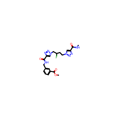 CNC(=O)c1cn(CCC(F)Cn2cc(C(=O)NCc3cccc(C(=O)OC)c3)nn2)nn1